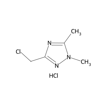 Cc1nc(CCl)nn1C.Cl